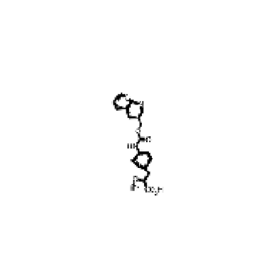 CC(C)OC(Cc1ccc(NC(=O)OCc2cnc3ccccc3c2)cc1)C(=O)O